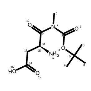 CN(C(=O)OC(C)(C)C)C(=O)[C@@H](N)CC(=O)O